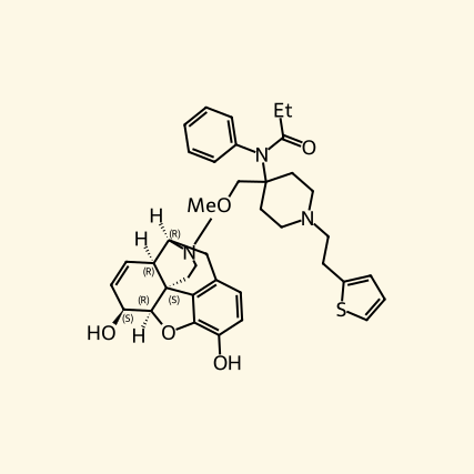 CCC(=O)N(c1ccccc1)C1(COC)CCN(CCc2cccs2)CC1.CN1CC[C@]23c4c5ccc(O)c4O[C@H]2[C@@H](O)C=C[C@H]3[C@H]1C5